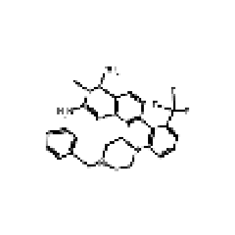 CN1C(N)=Nc2nc(-c3c(N4CCN(Cc5ccccc5)CC4)cccc3C(F)(F)F)ccc2C1N